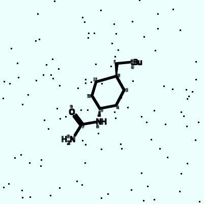 CC(C)(C)C[C@H]1CC[C@H](NC(N)=O)CC1